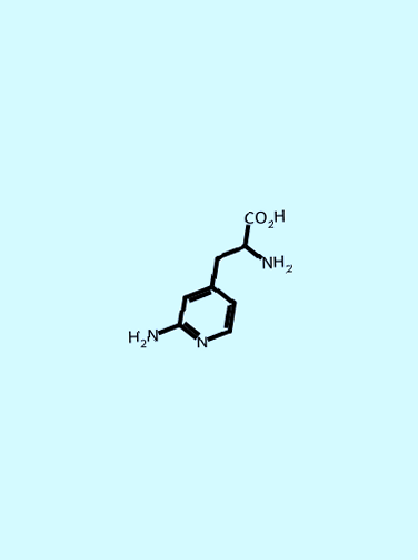 Nc1cc(CC(N)C(=O)O)ccn1